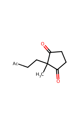 CC(=O)CCC1(C)C(=O)CCC1=O